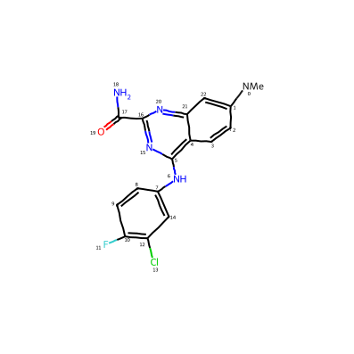 CNc1[c]cc2c(Nc3ccc(F)c(Cl)c3)nc(C(N)=O)nc2c1